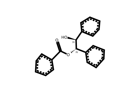 O=C(O[C@@H](c1ccccc1)[C@@H](O)c1ccccc1)c1ccccc1